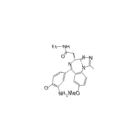 CCNC(=O)C[C@@H]1N=C(c2ccc(Cl)c(N)c2)c2cc(OC)ccc2-n2c(C)nnc21